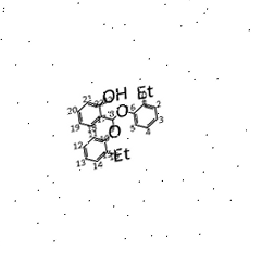 CCc1ccccc1OC(Oc1ccccc1CC)c1ccccc1O